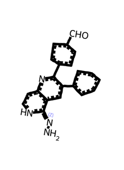 N/N=c1\[nH]ccc2nc(-c3ccc(C=O)cc3)c(-c3ccccc3)cc12